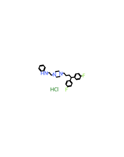 Cl.Fc1ccc(C(CCCN2CCN(CCNc3ccccc3)CC2)c2ccc(F)cc2)cc1